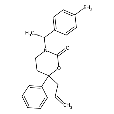 Bc1ccc([C@@H](C)N2CCC(CC=C)(c3ccccc3)OC2=O)cc1